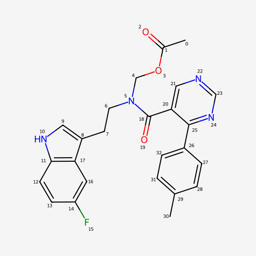 CC(=O)OCN(CCc1c[nH]c2ccc(F)cc12)C(=O)c1cncnc1-c1ccc(C)cc1